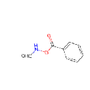 O=[C]NOC(=O)c1ccccc1